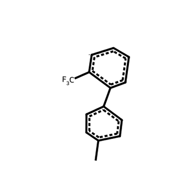 Cc1ccc(-c2ccc[c]c2C(F)(F)F)cc1